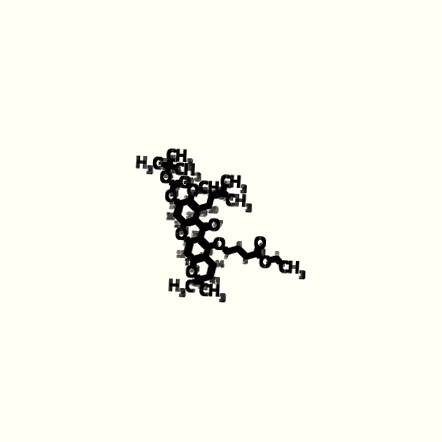 CCOC(=O)CCCOc1c2c(cc3oc4cc(OC(=O)OC(C)(C)C)c(OC)c(CC=C(C)C)c4c(=O)c13)OC(C)(C)C=C2